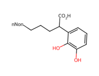 CCCCCCCCCCCCC(C(=O)O)c1cccc(O)c1O